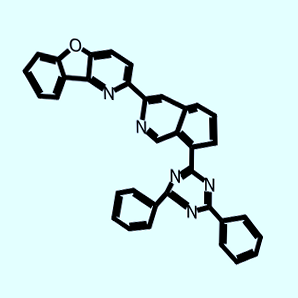 c1ccc(-c2nc(-c3ccccc3)nc(-c3cccc4cc(-c5ccc6oc7ccccc7c6n5)ncc34)n2)cc1